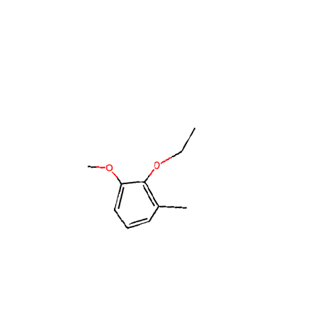 CCOc1c(C)cccc1OC